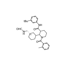 Cc1ccccc1C(=O)N1CCCC(C(=O)Nc2cccc(C(C)(C)C)c2)C1C1CCC[C@H](CNC=O)C1